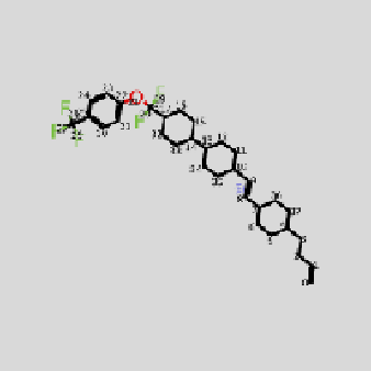 C=CCCC1CCC(/C=C/C2CCC(C3CCC(C(F)(F)Oc4ccc(C(F)(F)F)cc4)CC3)CC2)CC1